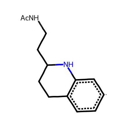 CC(=O)NCCC1CCc2cc[c]cc2N1